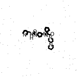 O=C(NCc1cccnc1)Nc1ccc(-n2nc(C(=O)N3CCC(N4CCCCC4)CC3)c3ccccc32)cc1